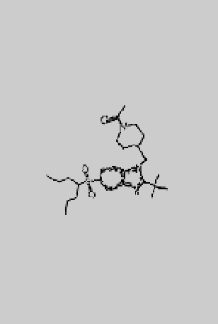 CCCC(CCC)S(=O)(=O)c1ccc2c(c1)nc(C(C)(C)C)n2CC1CCN(C(C)=O)CC1